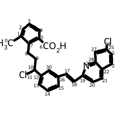 Cc1cccc(C(=O)O)c1CCC(Cl)c1cccc(C=Cc2ccc3ccc(Cl)cc3n2)c1